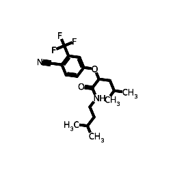 CC(C)CCNC(=O)C(CC(C)C)Oc1ccc(C#N)c(C(F)(F)F)c1